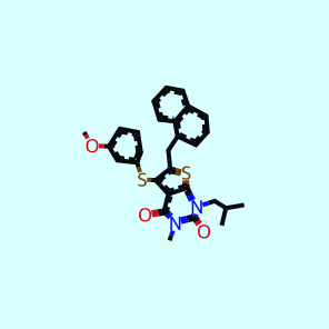 COc1cccc(Sc2c(Cc3cccc4ccccc34)sc3c2c(=O)n(C)c(=O)n3CC(C)C)c1